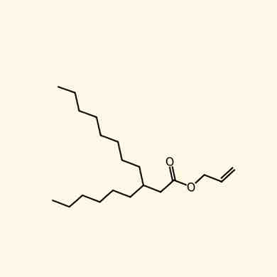 C=CCOC(=O)CC(CCCCCC)CCCCCCCC